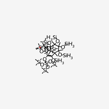 CC1(O[SiH3])C(C)(O[SiH3])C(C)(O[SiH3])C(C)(C(O[SiH3])=C(O[Si](O[Si](C)(C)C)(O[Si](C)(C)C)O[Si](C)(C)C)[SiH](O[Si](C)(C)C)O[Si](C)(C)C)C(C)(O[Si](C)(C)C)C1(C)O[Si](C)(C)C